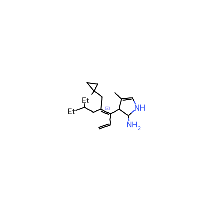 C=C/C(=C(\CC(CC)CC)CC1(C)CC1)C1C(C)=CNC1N